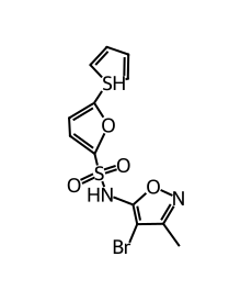 Cc1noc(NS(=O)(=O)c2ccc([SH]3C=CC=C3)o2)c1Br